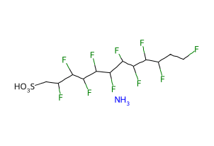 N.O=S(=O)(O)CC(F)C(F)C(F)C(F)C(F)C(F)C(F)C(F)C(F)CCF